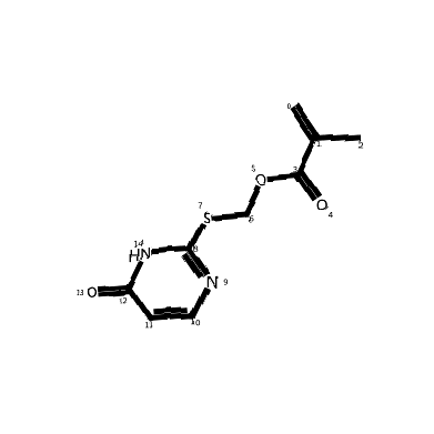 C=C(C)C(=O)OCSc1nccc(=O)[nH]1